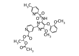 COc1ccccc1Oc1c(NS(=O)(=O)c2ccc(C)cn2)nc(-c2ccnc(C(=O)OC(C)OC(C)=O)c2)nc1OC